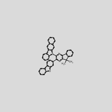 CC1(C)c2ccccc2-c2nc(-n3c4ccccc4c4cc5ccccc5cc43)c(-c3ccc4c(c3)oc3ccccc34)nc21